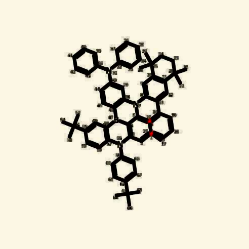 Cc1cc2c3c(c1)N(c1cc4c(cc1-c1ccccc1)C(C)(C)CCC4(C)C)c1cc(N(c4ccccc4)c4ccccc4)ccc1B3c1cc(C(C)(C)C)ccc1N2c1ccc(C(C)(C)C)cc1